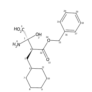 N[C@](O)(C(=O)O)[C@H](CC1CCCCC1)C(=O)OCc1ccccc1